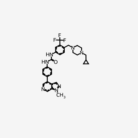 Cn1ncc2c(-c3ccc(NC(=O)Nc4ccc(CN5CCN(CC6CC6)CC5)c(C(F)(F)F)c4)cc3)cncc21